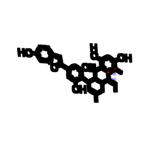 C/C=C\C(=C\C)C1CC(C)=CC(c2c(O)cc(-c3cc4ccc(O)cc4o3)cc2O)C1C(=O)c1ccc(O)cc1O